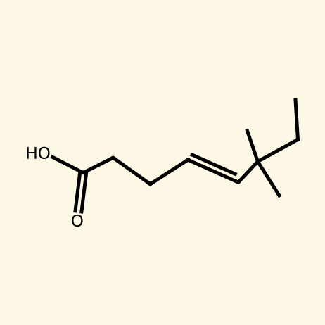 CCC(C)(C)C=CCCC(=O)O